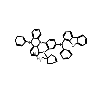 CC1(N2c3cc(N(c4ccccc4)c4cccc5c4oc4ccccc45)ccc3B3c4ccccc4N(C4=CCCC=C4)C4=CC=CC2(C)C34)CC=CCC1